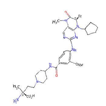 CC[C@@H]1C(=O)N(C)c2cnc(Nc3ccc(C(=O)NC4CCN(CC[C@@](C)(N)C(=O)O)CC4)cc3OC)nc2N1C1CCCC1